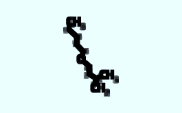 C=C(C)C=COCC=CCC